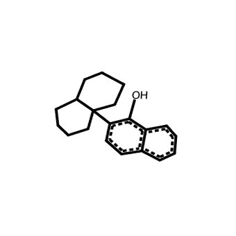 Oc1c(C23CCCCC2CCCC3)ccc2ccccc12